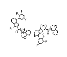 CC(C)c1c(C(=O)NN2CCOc3cc(-c4cc5c(C(C)C)c(C(=O)NN6CCOc7ccccc76)sc5c(-c5cc(F)cc(F)c5F)n4)ccc32)sc2c(-c3cc(F)cc(F)c3F)cccc12